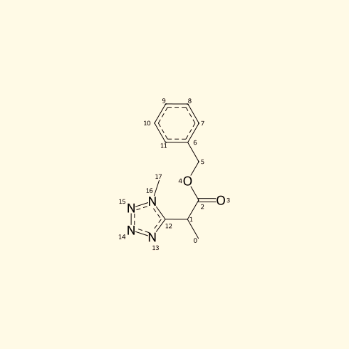 CC(C(=O)OCc1ccccc1)c1nnnn1C